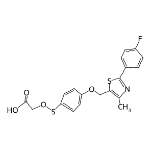 Cc1nc(-c2ccc(F)cc2)sc1COc1ccc(SOCC(=O)O)cc1